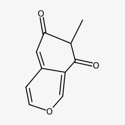 CC1C(=O)C=C2C=COC=C2C1=O